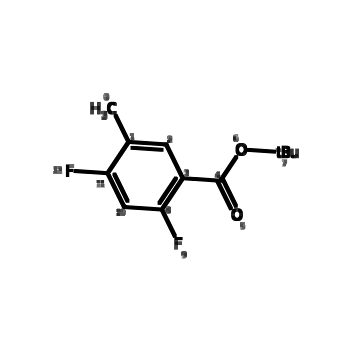 Cc1cc(C(=O)OC(C)(C)C)c(F)cc1F